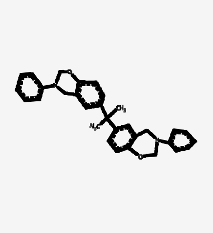 CC(C)(c1ccc2c(c1)CN(c1ccccc1)CO2)c1ccc2c(c1)CN(c1ccccc1)CO2